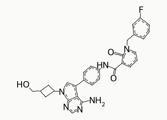 Nc1ncnc2c1c(-c1ccc(NC(=O)c3cccn(Cc4cccc(F)c4)c3=O)cc1)cn2C1CC(CO)C1